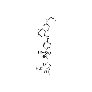 COc1ccc2c(Oc3ccc(S(=N)(=O)NC[C@@H]4COC(C)(C)O4)cc3)ccnc2c1